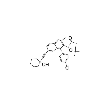 CC(=O)C(OC(C)(C)C)c1c(C)cc2ccc(C#CC3(O)CCCCC3)cc2c1-c1ccc(Cl)cc1